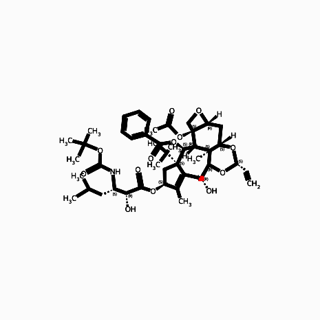 C=C[C@H]1O[C@H]2C[C@H]3OC[C@@]3(OC(C)=O)[C@H]3[C@H](OC(=O)c4ccccc4)[C@]4(C(C)(C)O)C[C@H](OC(=O)[C@H](O)[C@H](CC(C)C)NC(=O)OC(C)(C)C)C(C)=C4[C@@H](O)[C@H](O1)[C@]23C